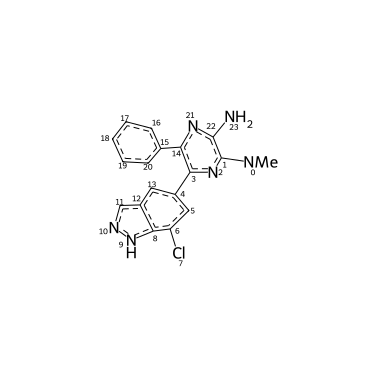 CNc1nc(-c2cc(Cl)c3[nH]ncc3c2)c(-c2ccccc2)nc1N